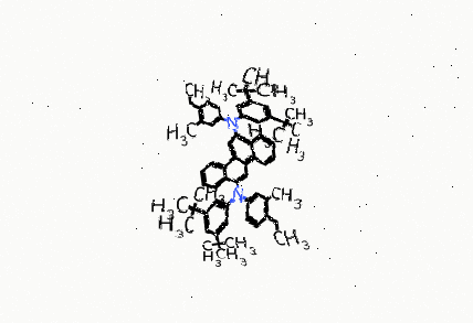 CCc1ccc(N(c2cc(C(C)(C)C)cc(C(C)(C)C)c2)c2cc3c4ccccc4c(N(c4cc(C(C)(C)C)cc(C(C)(C)C)c4)c4ccc(CC)c(C)c4)cc3c3ccccc23)cc1C